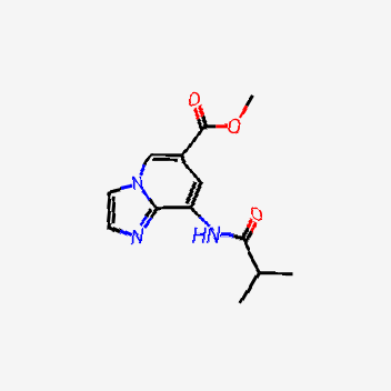 COC(=O)c1cc(NC(=O)C(C)C)c2nccn2c1